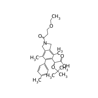 CCOCCC(=O)N1Cc2c(C)c(-c3ccc(C)cc3)c([C@H](OC(C)(C)C)C(=O)O)c(C)c2C1